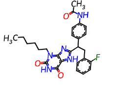 CCCCCCn1c(=O)[nH]c(=O)c2[nH]c(C(Cc3ccccc3F)c3ccc(NC(C)=O)cc3)nc21